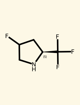 FC1CN[C@H](C(F)(F)F)C1